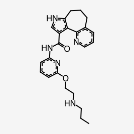 CCCNCCOc1cccc(NC(=O)c2c[nH]c3c2-c2ncccc2CCC3)n1